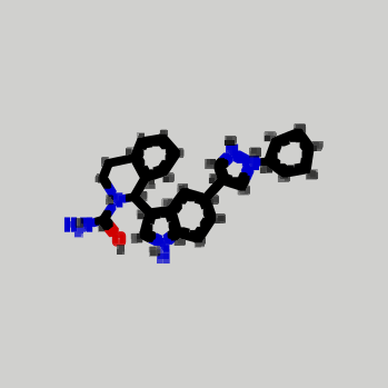 NC(=O)N1CCc2ccccc2C1c1c[nH]c2ccc(-c3cnn(-c4ccccc4)c3)cc12